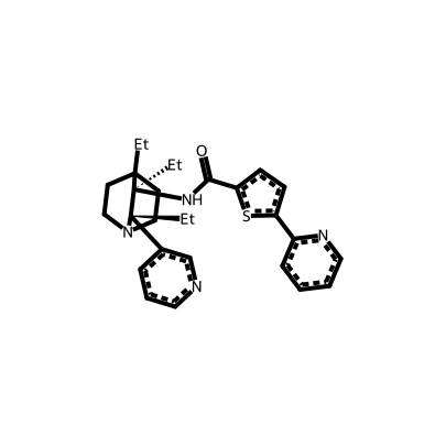 CCC12CCN(CC1)[C@@](CC)(c1cccnc1)[C@]2(CC)NC(=O)c1ccc(-c2ccccn2)s1